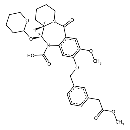 COC(=O)Cc1cccc(COc2cc3c(cc2OC)C(=O)N2CCCC[C@H]2[C@H](OC2CCCCO2)N3C(=O)O)c1